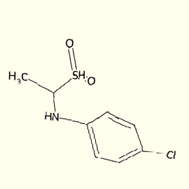 CC(Nc1ccc(Cl)cc1)[SH](=O)=O